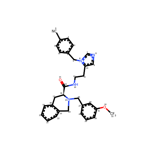 N#Cc1ccc(Cn2cncc2CCNC(=O)[C@@H]2Cc3ccccc3CN2Cc2cccc(OC(F)(F)F)c2)cc1